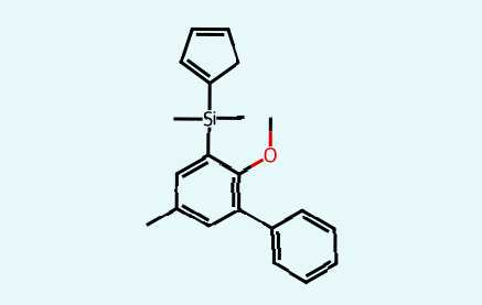 COc1c(-c2ccccc2)cc(C)cc1[Si](C)(C)C1=CC=CC1